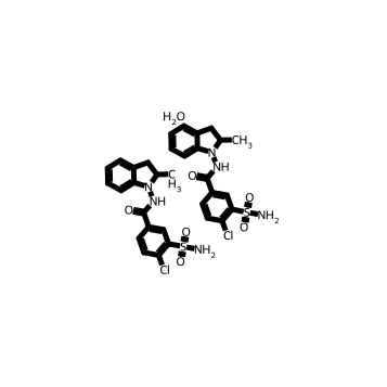 CC1Cc2ccccc2N1NC(=O)c1ccc(Cl)c(S(N)(=O)=O)c1.CC1Cc2ccccc2N1NC(=O)c1ccc(Cl)c(S(N)(=O)=O)c1.O